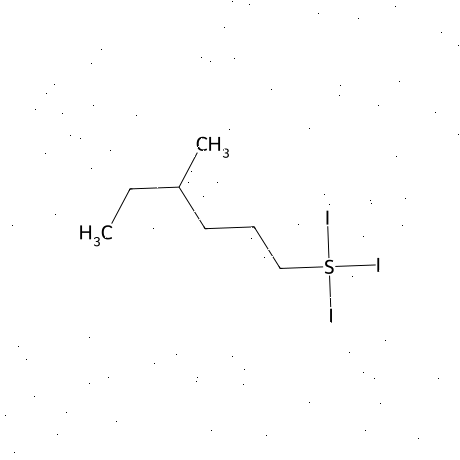 CCC(C)CCCS(I)(I)I